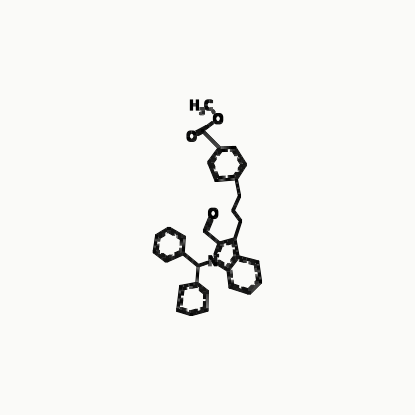 COC(=O)c1ccc(CCCc2c(C=O)n(C(c3ccccc3)c3ccccc3)c3ccccc23)cc1